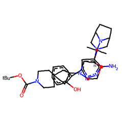 CC(C)(C)OC(=O)N1CCC2(CC1)CC(N1CCO[C@H](C(C)(C)N3C4CCC3CN(c3cc(-c5ccccc5O)nnc3N)C4)C1)C2